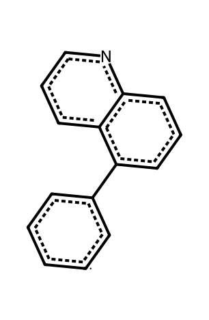 [c]1cccc(-c2cccc3ncccc23)c1